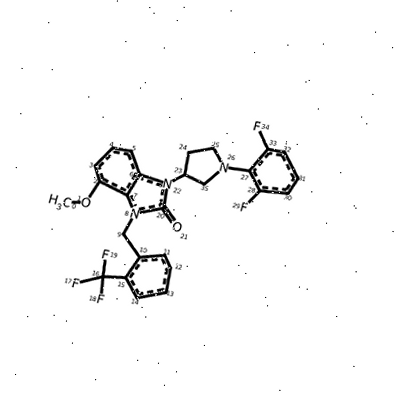 COc1cccc2c1n(Cc1ccccc1C(F)(F)F)c(=O)n2C1CCN(c2c(F)cccc2F)C1